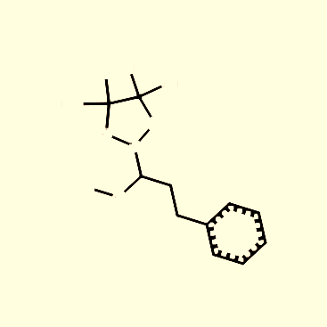 COC(CCc1ccccc1)B1OC(C)(C)C(C)(C)O1